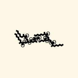 CCCCCCC(C)C(=O)OCC(COC(=O)C(C)CCCCCC)OC(=O)CCCN(CCCC(=O)OC(COC(=O)C(C)CCCCCC)COC(=O)C(C)CCCCCC)C(=O)OC(C)(C)C